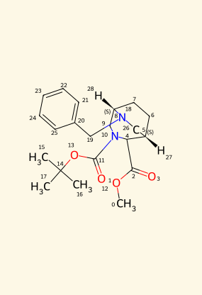 COC(=O)C1[C@H]2CC[C@@H](CN1C(=O)OC(C)(C)C)N(Cc1ccccc1)C2